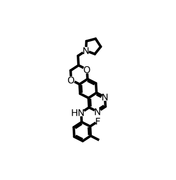 Cc1cccc(Nc2ncnc3cc4c(cc23)OCC(CN2CCCC2)O4)c1F